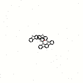 c1cc(-c2ccc3sc4ccccc4c3c2)nc(-n2c3ccccc3c3ccc4c5ccccc5n(-c5ccc6sc7ccccc7c6c5)c4c32)c1